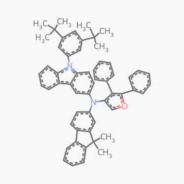 CC(C)(C)c1cc(-n2c3ccccc3c3cc(N(c4ccc5c(c4)C(C)(C)c4ccccc4-5)c4coc(-c5ccccc5)c4-c4ccccc4)ccc32)cc(C(C)(C)C)c1